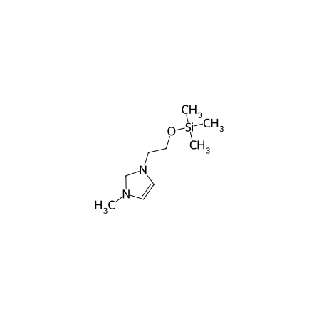 CN1C=CN(CCO[Si](C)(C)C)C1